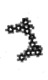 Nc1cc(-c2ccc(-c3ccc(N(c4ccc(-c5ccccc5)cc4)c4cccnc4)c(N)c3)s2)ccc1N(c1ccc(-c2ccccc2)cc1)c1cccnc1